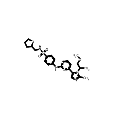 COCC(C)n1c(-c2ccnc(Nc3ccc(S(=O)(=O)NCC4CCCO4)cc3)n2)cnc1C